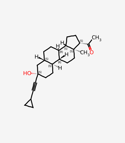 CC(=O)[C@H]1CC[C@H]2[C@@H]3CC[C@H]4C[C@](O)(C#CC5CC5)CC[C@@H]4[C@H]3CC[C@]12C